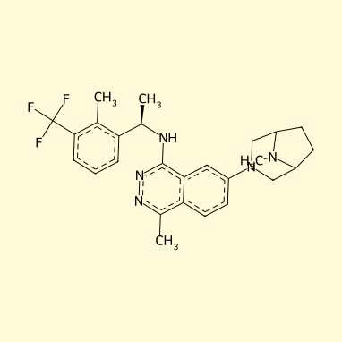 Cc1c([C@@H](C)Nc2nnc(C)c3ccc(N4CC5CCC(C4)N5C)cc23)cccc1C(F)(F)F